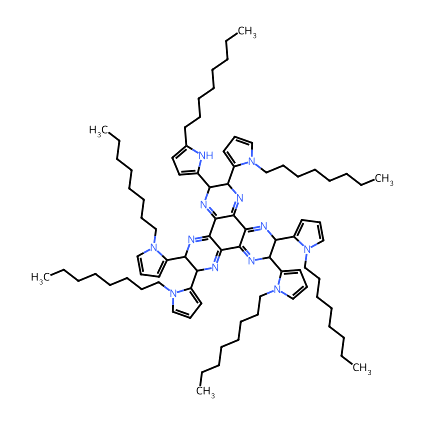 CCCCCCCCc1ccc(C2N=c3c(c4c(c5c3=NC(c3cccn3CCCCCCCC)C(c3cccn3CCCCCCCC)N=5)=NC(c3cccn3CCCCCCCC)C(c3cccn3CCCCCCCC)N=4)=NC2c2cccn2CCCCCCCC)[nH]1